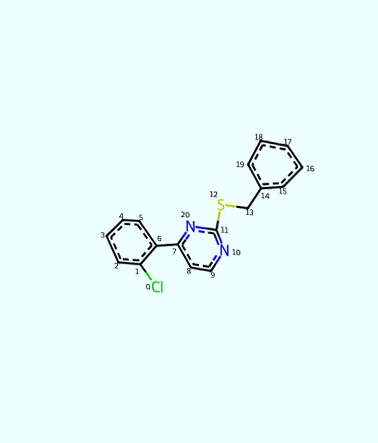 Clc1ccccc1-c1ccnc(SCc2ccccc2)n1